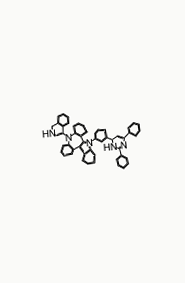 C1=C(c2ccccc2)N=C(c2ccccc2)NC1c1cccc(-n2c3c(c4ccccc42)-c2ccccc2N(C2=CNCc4ccccc42)c2ccccc2-3)c1